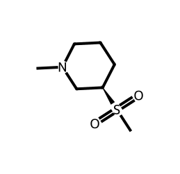 CN1CCC[C@@H](S(C)(=O)=O)C1